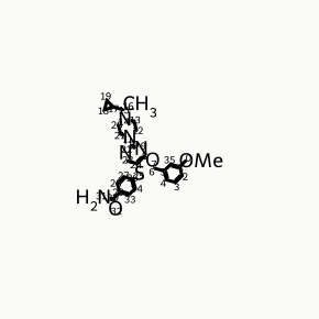 COc1cccc(COc2nc(N3CCN([C@H](C)C4CC4)CC3)ncc2Sc2ccc(C(N)=O)cc2)c1